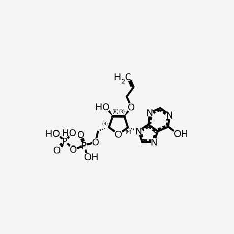 C=CCO[C@@H]1[C@H](O)[C@@H](COP(=O)(O)OP(=O)(O)O)O[C@H]1n1cnc2c(O)ncnc21